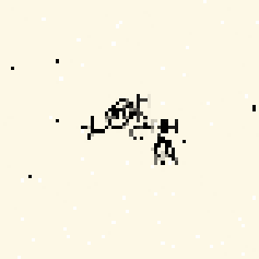 Cn1cc(NC(=O)NC2C3CC4CC2CC(CC(C)(C)C)(C4)C3)cn1